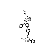 O=C(NS(=O)(=O)CCCCO)c1ccc(-c2ccc(CCN(C[C@@H](O)c3ccccc3)C(=O)O)cc2)cc1OC1CCCCC1